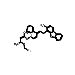 CCOC(C)/C=C(/C)ON/C=C\C(=C/Cc1c(C)ccc2c1oc1ccccc12)c1ccccc1